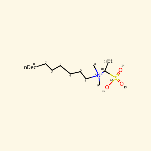 CCCCCCCCCCCCCCCC[N+](C)(C)C(CC)S(=O)(=O)[O-]